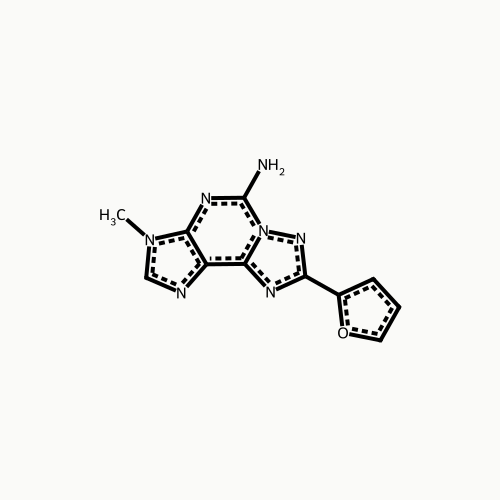 Cn1cnc2c1nc(N)n1nc(-c3ccco3)nc21